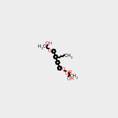 C=C(CO)CCOc1cccc(-c2ccc(-c3ccc(-c4cccc(OCCOC(=O)C(=C)CO)c4)cc3)c(CCCCC)c2)c1